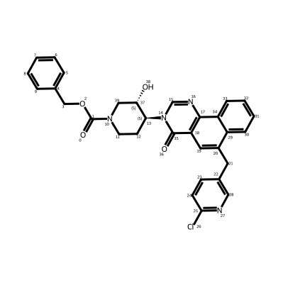 O=C(OCc1ccccc1)N1CC[C@H](n2cnc3c(cc(Cc4ccc(Cl)nc4)c4ccccc43)c2=O)[C@@H](O)C1